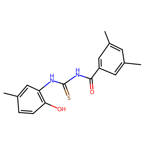 Cc1cc(C)cc(C(=O)NC(=S)Nc2cc(C)ccc2O)c1